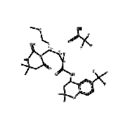 COCC[C@H]([C@@H]1C[C@H]1C(=O)NC1CC(C)(C)Oc2ccc(C(F)(F)F)cc21)N1C(=N)NC(C)(C)CC1=O.O=C(O)C(F)(F)F